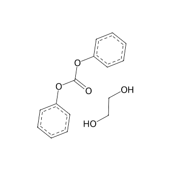 O=C(Oc1ccccc1)Oc1ccccc1.OCCO